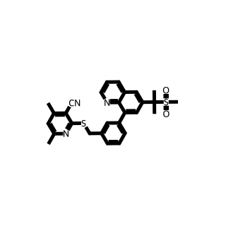 Cc1cc(C)c(C#N)c(SCc2cccc(-c3cc(C(C)(C)S(C)(=O)=O)cc4cccnc34)c2)n1